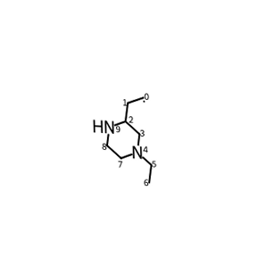 [CH2]CC1CN(CC)CCN1